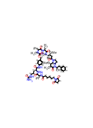 CC[C@H](C)[C@@H]([C@@H](CC(=O)N1CCC[C@H]1[C@H](OC)[C@@H](C)C(=O)N[C@H](C)Cc1ccccc1)OC)N(C)C(=O)[C@H](C)NC(=O)[C@H](C(C)C)N(C)C(=O)OCc1ccc(NC(=O)[C@H](CCCNC(N)=O)NC(=O)[C@@H](NC(=O)CCCCCN2C(=O)CCC2=O)C(C)C)cc1